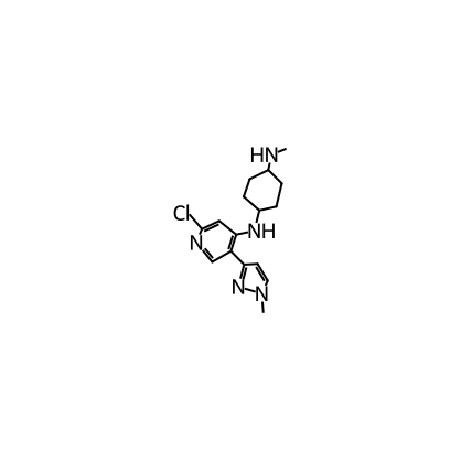 CNC1CCC(Nc2cc(Cl)ncc2-c2ccn(C)n2)CC1